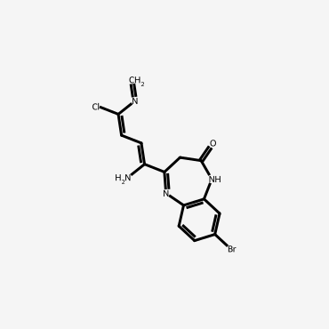 C=N/C(Cl)=C\C=C(/N)C1=Nc2ccc(Br)cc2NC(=O)C1